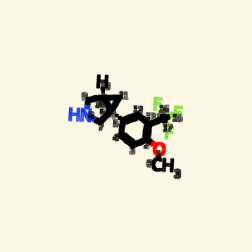 COc1ccc([C@]23CNC[C@H]2C3)cc1C(F)(F)F